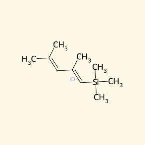 CC(C)=C/C(C)=C/[Si](C)(C)C